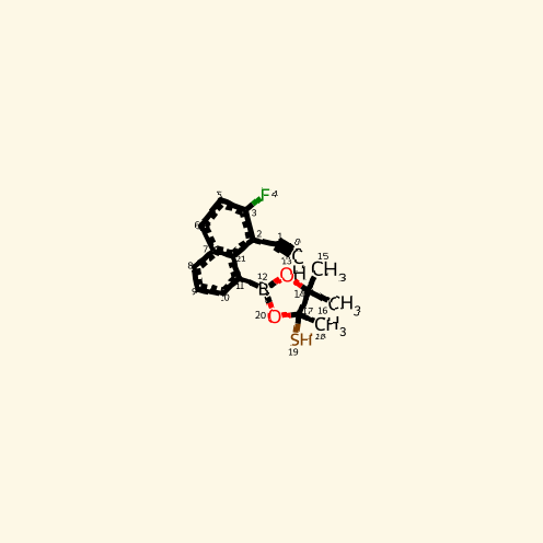 C#Cc1c(F)ccc2cccc(B3OC(C)(C)C(C)(S)O3)c12